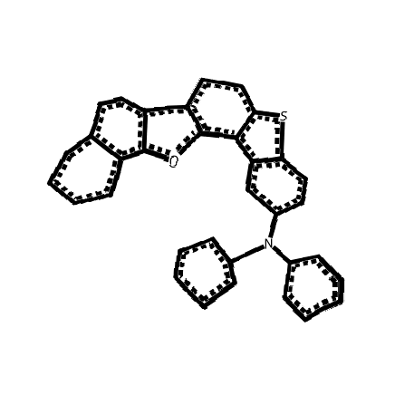 c1ccc(N(c2ccccc2)c2ccc3sc4ccc5c6ccc7ccccc7c6oc5c4c3c2)cc1